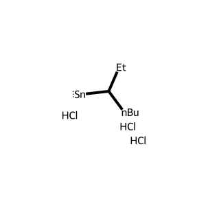 CCCC[CH]([Sn])CC.Cl.Cl.Cl